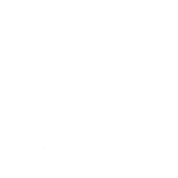 CCOC(=O)Cc1cc(C(=O)O)sc1-c1ccc(C)cc1